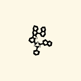 c1ccc(-c2nc(-c3ccc4ccccc4c3)nc(-c3cccc4c3oc3c(-c5cccc6ccccc56)c5ccccc5cc34)n2)cc1